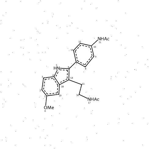 COc1ccc2[nH]c(-c3ccc(NC(C)=O)cc3)c(CCNC(C)=O)c2c1